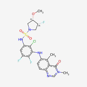 CO[C@H]1CN(S(=O)(=O)Nc2cc(F)c(F)c(Nc3ccc4ncn(C)c(=O)c4c3C)c2Cl)C[C@H]1F